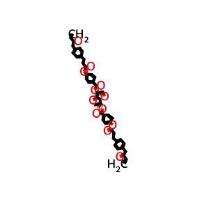 C=CC(=O)Cc1ccc(CCC(=O)Oc2ccc(C(=O)O[C@H]3COC4C3OC[C@H]4OC(=O)c3ccc(OC(=O)CCc4ccc(CC(=O)C=C)cc4)cc3)cc2)cc1